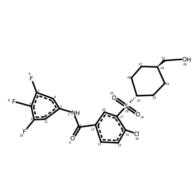 O=C(Nc1cc(F)c(F)c(F)c1)c1ccc(Cl)c(S(=O)(=O)[C@H]2CC[C@H](CO)CC2)c1